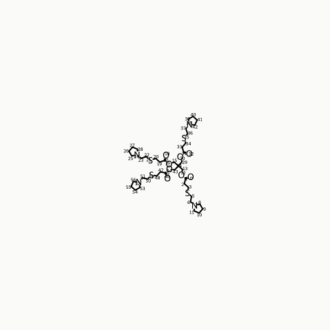 O=C(CCSCCN1CCCC1)OCC(COC(=O)CCSCCN1CCCC1)(COC(=O)CCSCCN1CCCC1)COC(=O)CCSCCN1CCCC1